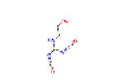 O=C=NC(N=C=O)NCCO